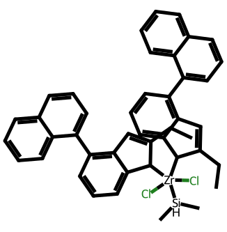 CCC1=Cc2c(-c3cccc4ccccc34)cccc2[CH]1[Zr]([Cl])([Cl])([CH]1C(CC)=Cc2c(-c3cccc4ccccc34)cccc21)[SiH](C)C